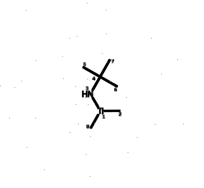 [CH3][Ti]([CH3])[NH]C(C)(C)C